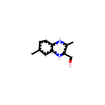 Cc1ccc2nc(C)c(C=O)nc2c1